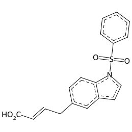 O=C(O)C=CCc1ccc2c(ccn2S(=O)(=O)c2ccccc2)c1